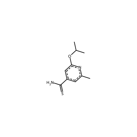 Cc1cc(C(N)=S)cc(OC(C)C)n1